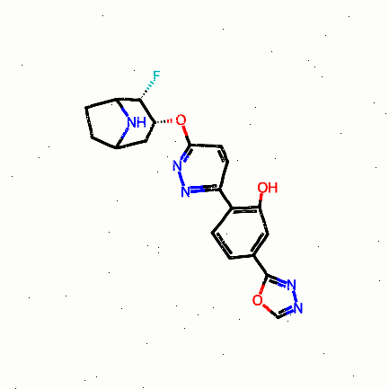 Oc1cc(-c2nnco2)ccc1-c1ccc(O[C@@H]2CC3CCC(N3)[C@@H]2F)nn1